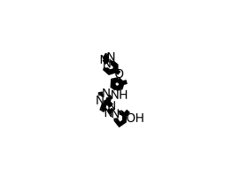 Cc1cc(Nc2ncnc3cnc(N4CCCC(C)(O)C4)nc23)ccc1Oc1ccn2ncnc2c1